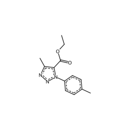 CCOC(=O)c1c(C)nnn1-c1ccc(C)cc1